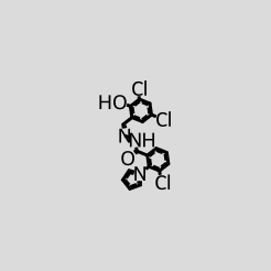 O=C(N/N=C\c1cc(Cl)cc(Cl)c1O)c1cccc(Cl)c1-n1cccc1